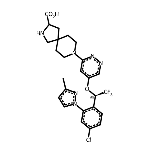 Cc1ccn(-c2cc(Cl)ccc2[C@@H](Oc2cnnc(N3CCC4(CC3)CNC(C(=O)O)C4)c2)C(F)(F)F)n1